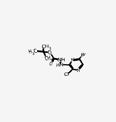 CC(C)(C)OC(=O)NNc1nc(Br)cnc1Cl